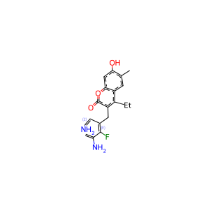 C=C(N)/C(F)=C(\C=C/N)Cc1c(CC)c2cc(C)c(O)cc2oc1=O